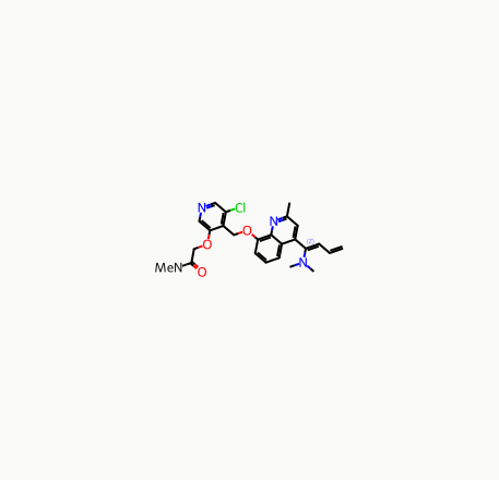 C=C/C=C(/c1cc(C)nc2c(OCc3c(Cl)cncc3OCC(=O)NC)cccc12)N(C)C